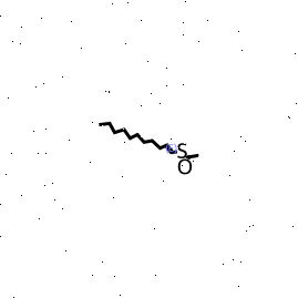 CCCCCCCCC/C=C/SC(C)=O